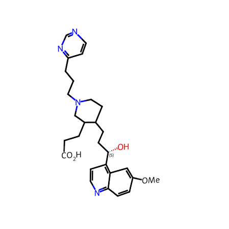 COc1ccc2nccc([C@@H](O)CCC3CCN(CCCc4ccncn4)CC3CCC(=O)O)c2c1